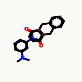 CN(C)c1cccc(N2C(=O)C3=C(C2=O)C2c4ccccc4C3c3ccccc32)c1